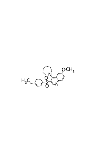 CCc1ccc(S(=O)(=O)c2cnc3ccc(OC)cc3c2N2CCCCCC2)cc1